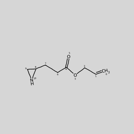 C=CCOC(=O)CCC1CN1